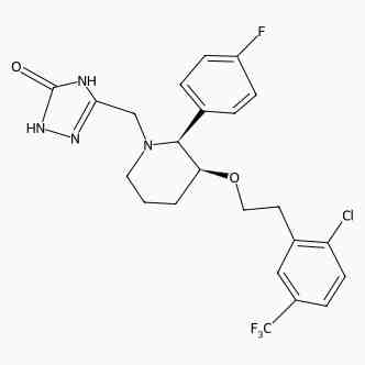 O=c1[nH]nc(CN2CCC[C@H](OCCc3cc(C(F)(F)F)ccc3Cl)[C@@H]2c2ccc(F)cc2)[nH]1